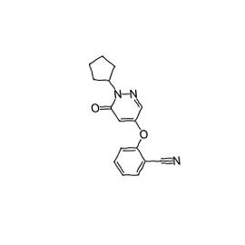 N#Cc1ccccc1Oc1cnn(C2CCCC2)c(=O)c1